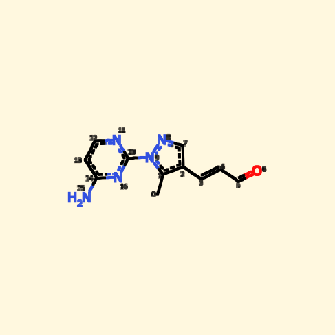 Cc1c(C=CC=O)cnn1-c1nccc(N)n1